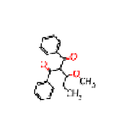 CCC(OC)[C](C(=O)c1ccccc1)C(=O)c1ccccc1